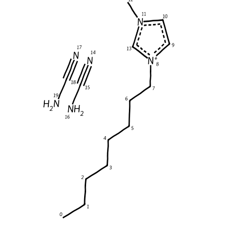 CCCCCCCC[n+]1ccn(C)c1.N#CN.N#CN